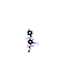 CCOC(=O)Nc1ccc(NCc2ccc(F)cc2)c([18F])c1N